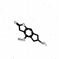 COc1c2c(cc3c1CC(=O)O3)CC(N)C2